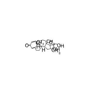 CC1C[C@H]2[C@@H]3CCC4=CC(=O)C=C[C@]4(C)[C@]34OC4C[C@]2(C)[C@]12OC2(O)CO